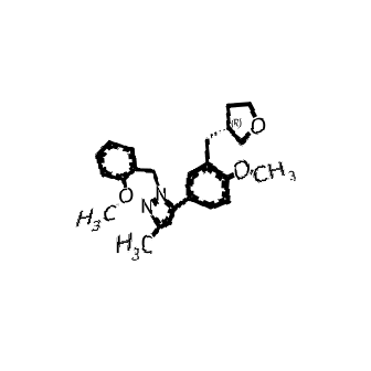 COc1ccc(-c2cc(C)nn2Cc2ccccc2OC)cc1C[C@@H]1CCOC1